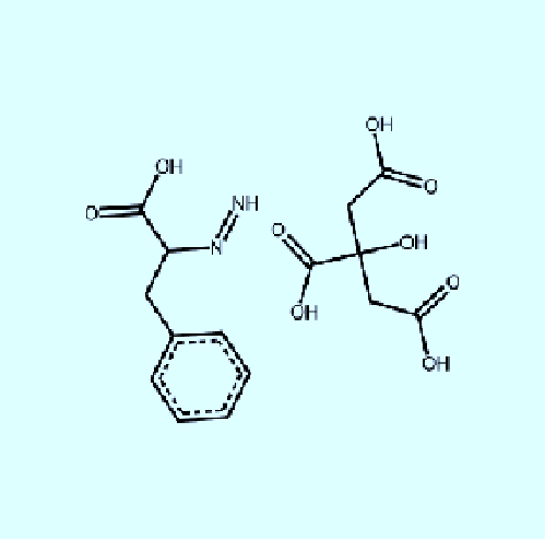 N=NC(Cc1ccccc1)C(=O)O.O=C(O)CC(O)(CC(=O)O)C(=O)O